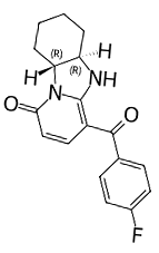 O=C(c1ccc(F)cc1)c1ccc(=O)n2c1N[C@@H]1CCCC[C@H]12